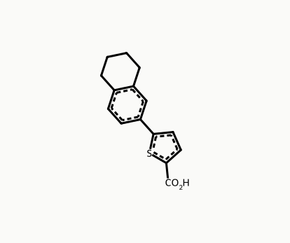 O=C(O)c1ccc(-c2ccc3c(c2)CCCC3)s1